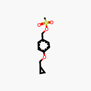 CS(=O)(=O)OCc1ccc(OCC2CC2)cc1